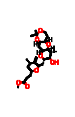 C=C1C(C[C@@H]2O[C@H]3C[C@H]4OC(C)(C)OCC[C@H]4O[C@H]3[C@H](C)[C@H]2O)OC(CCC(=O)OC)C[C@H]1C